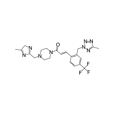 CC1=NC(CN2CCN(C(=O)/C=C/c3ccc(C(F)(F)F)cc3Cn3nnc(C)n3)CC2)=NC1